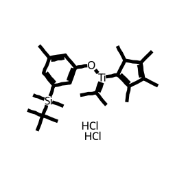 CC1=C(C)C(C)[C]([Ti]([O]c2cc(C)cc([Si](C)(C)C(C)(C)C)c2)=[C](C)C)=C1C.Cl.Cl